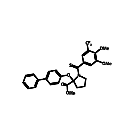 COC(=O)C1(Oc2ccc(-c3ccccc3)cc2)CCCN1C(=S)c1cc(OC)c(OC)c(C(F)(F)F)c1